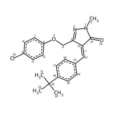 CN1N=C(COc2ccc(Cl)cc2)/C(=C\c2ccc(C(C)(C)C)cc2)C1=O